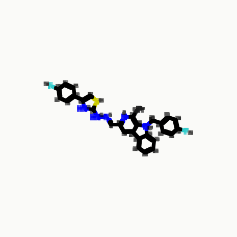 CC(C)c1nc(/C=N/NC2NC(c3ccc(F)cc3)=CS2)cc2c3ccccc3n(Cc3ccc(F)cc3)c12